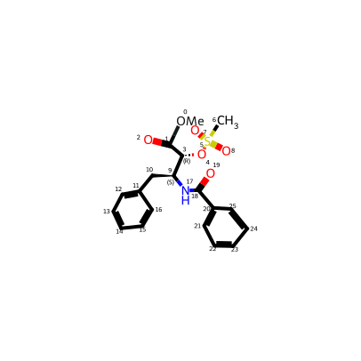 COC(=O)[C@H](OS(C)(=O)=O)[C@H](Cc1ccccc1)NC(=O)c1ccccc1